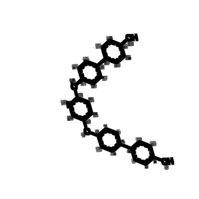 Oc1ccc(-c2ccc(Oc3ccc(Oc4ccc(-c5ccc(O)cc5)cc4)nc3)cc2)cc1